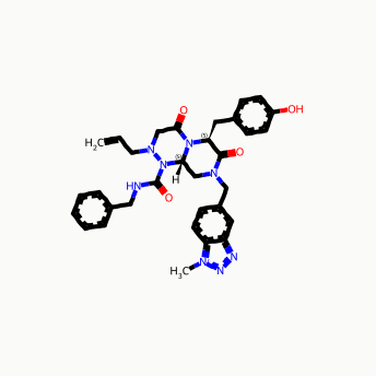 C=CCN1CC(=O)N2[C@@H](Cc3ccc(O)cc3)C(=O)N(Cc3ccc4c(c3)nnn4C)C[C@@H]2N1C(=O)NCc1ccccc1